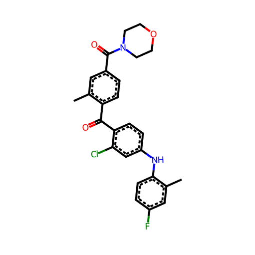 Cc1cc(F)ccc1Nc1ccc(C(=O)c2ccc(C(=O)N3CCOCC3)cc2C)c(Cl)c1